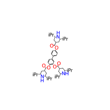 CC(C)C1CC(C(=O)Oc2ccc(-c3ccc(OC(=O)C4CC(C(C)C)NC(C(C)C)C4)c(OC(=O)C4CC(C(C)C)NC(C(C)C)C4)c3)cc2)CC(C(C)C)N1